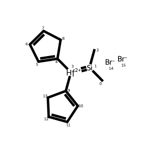 C[Si](C)=[Hf+2]([C]1=CC=CC1)[C]1=CC=CC1.[Br-].[Br-]